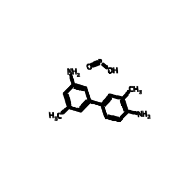 Cc1cc(N)cc(-c2ccc(N)c(C)c2)c1.O=PO